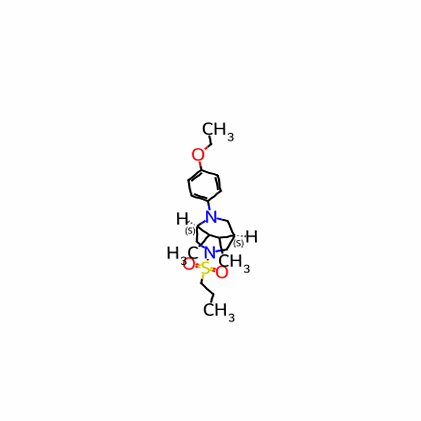 CCCS(=O)(=O)N1C[C@@H]2CN(c3ccc(OCC)cc3)[C@H](C1)C(C)C2C